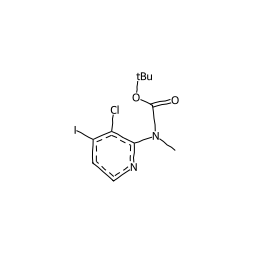 CN(C(=O)OC(C)(C)C)c1nccc(I)c1Cl